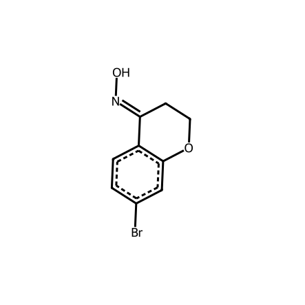 ON=C1CCOc2cc(Br)ccc21